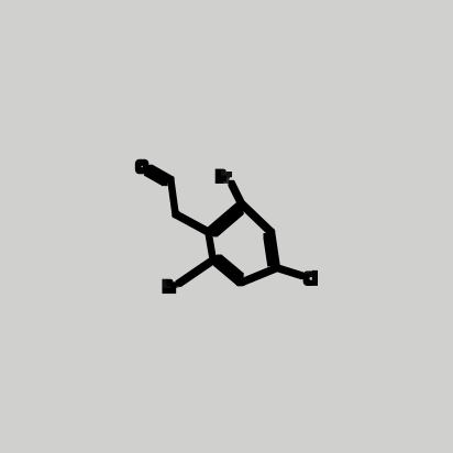 O=CCc1c(Br)cc(Cl)cc1Br